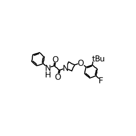 CC(C)(C)c1cc(F)ccc1OC1CN(C(=O)C(=O)Nc2ccccc2)C1